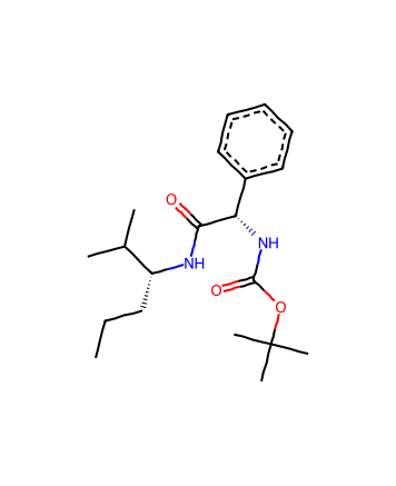 CCC[C@@H](NC(=O)[C@@H](NC(=O)OC(C)(C)C)c1ccccc1)C(C)C